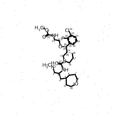 CNCC(CC1CCCOCC1)NC(=O)N1CCC[C@@H]([C@@H](OCCNC(=O)OC)c2cccc(Cl)c2F)C1